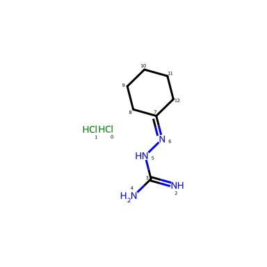 Cl.Cl.N=C(N)NN=C1CCCCC1